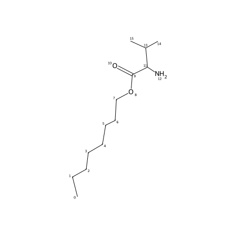 CCCCCCCCOC(=O)C(N)C(C)C